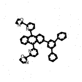 c1ccc(-c2cc(-c3ccccc3)cc(-c3ccc4c(-c5cccc(-c6ncco6)n5)c5ccccc5c(-c5cccc(-c6ncco6)n5)c4c3)c2)cc1